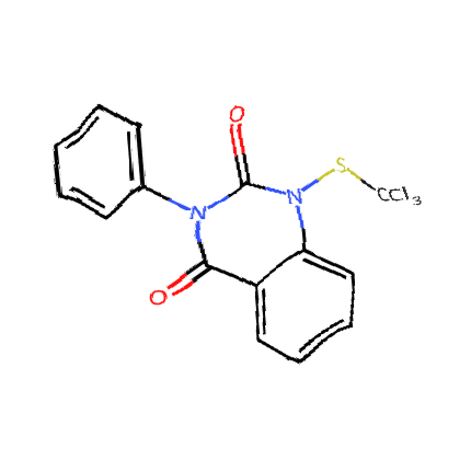 O=c1c2ccccc2n(SC(Cl)(Cl)Cl)c(=O)n1-c1ccccc1